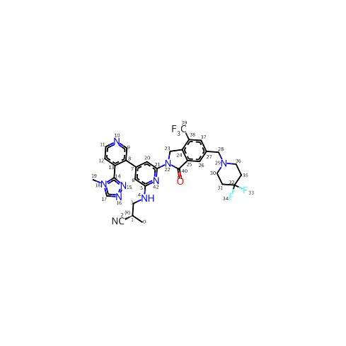 C[C@@H](C#N)CNc1cc(-c2cnccc2-c2nncn2C)cc(N2Cc3c(cc(CN4CCC(F)(F)CC4)cc3C(F)(F)F)C2=O)n1